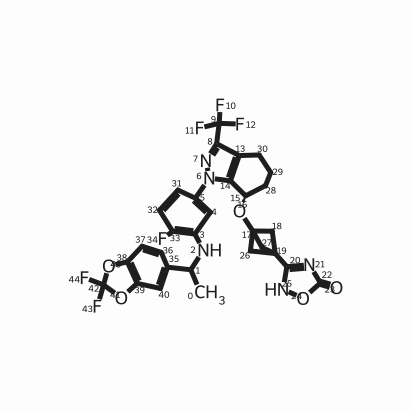 CC(Nc1cc(-n2nc(C(F)(F)F)c3c2[C@@H](OC24CC(c5nc(=O)o[nH]5)(C2)C4)CCC3)ccc1F)c1ccc2c(c1)OC(F)(F)O2